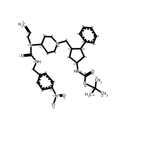 C=CCN(C(=O)NCc1ccc([N+](=O)[O-])cc1)C1CCN(CC2CC(NC(=O)OC(C)(C)C)CC2c2ccccc2)CC1